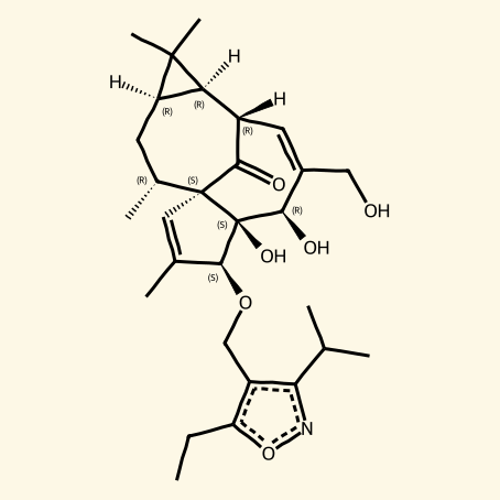 CCc1onc(C(C)C)c1CO[C@H]1C(C)=C[C@]23C(=O)[C@@H](C=C(CO)[C@@H](O)[C@]12O)[C@H]1[C@@H](C[C@H]3C)C1(C)C